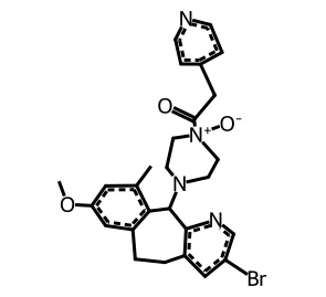 COc1cc(C)c2c(c1)CCc1cc(Br)cnc1C2N1CC[N+]([O-])(C(=O)Cc2ccncc2)CC1